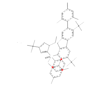 Cl.Cl.[CH2]=[Zr]([CH3])([C]1=CC(C(C)(C)C)=CC1CC)([c]1ccccc1)[c]1c2c(cc(C(C)(C)C)c1-c1c(C)cc(C)cc1C)-c1cc(C(C)(C)C)c(-c3c(C)cc(C)cc3C)cc1C2